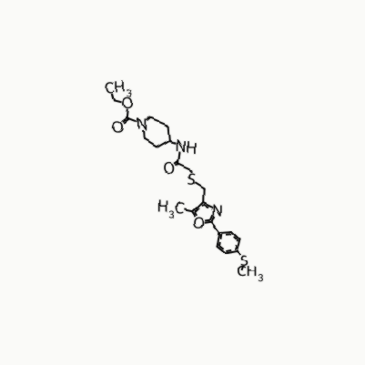 CCOC(=O)N1CCC(NC(=O)CSCc2nc(-c3ccc(SC)cc3)oc2C)CC1